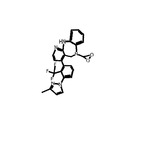 Cc1ccn(-c2cccc(-c3ccnc4c3CN(C3OO3)c3ccccc3N4)c2C(F)(F)F)n1